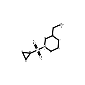 CC(C)CC1CCCN(S(=O)(=O)C2CC2)C1